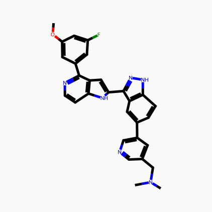 COc1cc(F)cc(-c2nccc3[nH]c(-c4n[nH]c5ccc(-c6cncc(CN(C)C)c6)cc45)cc23)c1